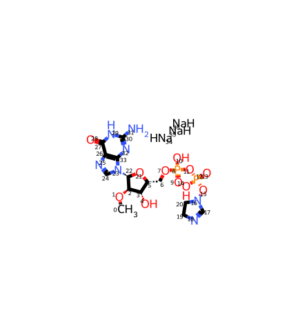 CO[C@@H]1[C@@H](O)[C@@H](COP(=O)(O)OP(=O)(O)ON2C=NCC2)O[C@H]1n1cnc2c(=O)[nH]c(N)nc21.[NaH].[NaH].[NaH]